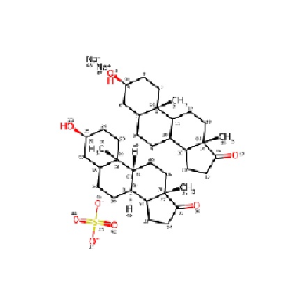 C[C@]12CC[C@H](O)CC1CCC1C2CC[C@]2(C)C(=O)CCC12.C[C@]12CC[C@H](O)CC1CC[C@@H]1C3CCC(=O)[C@@]3(C)CC[C@H]12.O=S(=O)([O-])[O-].[Na+].[Na+]